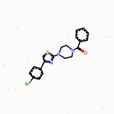 O=C(c1ccccc1)N1CCN(c2nc(-c3ccc(Br)cc3)cs2)CC1